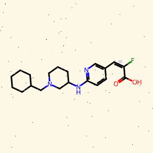 O=C(O)/C(F)=C\c1ccc(NC2CCCN(CC3CCCCC3)C2)nc1